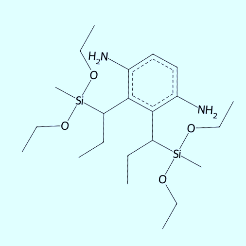 CCO[Si](C)(OCC)C(CC)c1c(N)ccc(N)c1C(CC)[Si](C)(OCC)OCC